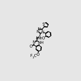 COc1ccccc1-n1c(SCc2nc(=O)c3cc(OC(F)(F)F)ccc3[nH]2)nnc1-c1cccs1